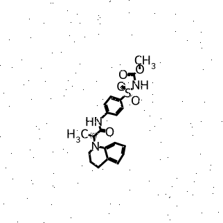 COC(=O)NS(=O)(=O)c1ccc(NC(=O)[C@H](C)N2CCCc3ccccc32)cc1